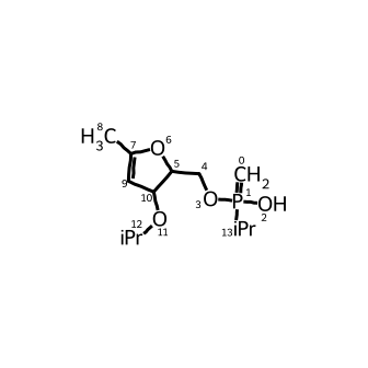 C=P(O)(OCC1OC(C)=CC1OC(C)C)C(C)C